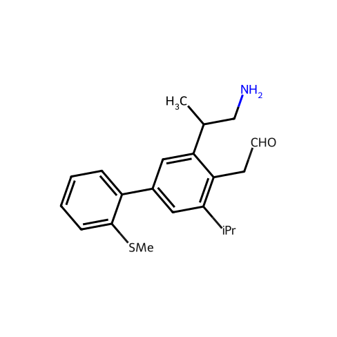 CSc1ccccc1-c1cc(C(C)C)c(CC=O)c(C(C)CN)c1